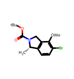 COc1c(Br)ccc2c1CN(C(=O)OC(C)(C)C)[C@H]2C